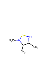 CC1NSN(C)C1C